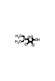 CCN(CC)C(=O)/C(Cl)=C(/Cl)C(=O)O